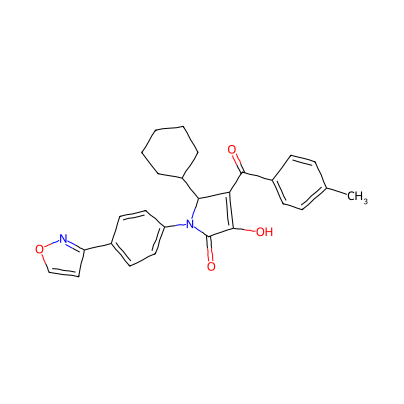 Cc1ccc(C(=O)C2=C(O)C(=O)N(c3ccc(-c4ccon4)cc3)C2C2CCCCC2)cc1